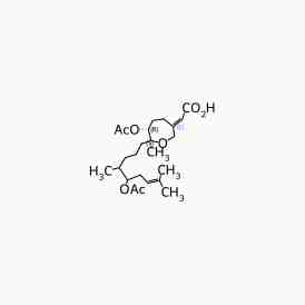 CC(=O)OC(CC=C(C)C)C(C)CCC[C@]1(C)OC/C(=C/C(=O)O)CC[C@H]1OC(C)=O